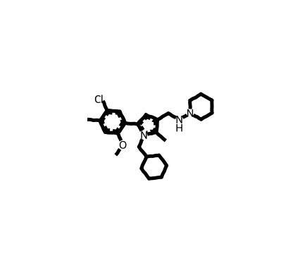 COc1cc(C)c(Cl)cc1-c1cc(CNN2CCCCC2)c(C)n1CC1CCCCC1